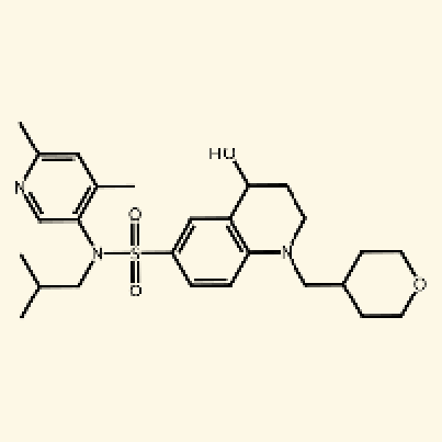 Cc1cc(C)c(N(CC(C)C)S(=O)(=O)c2ccc3c(c2)C(O)CCN3CC2CCOCC2)cn1